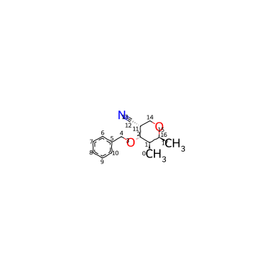 C[C@H]1[C@H](OCc2ccccc2)[C@H](C#N)CO[C@H]1C